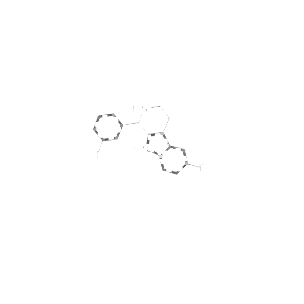 Fc1ccc2[nH]c3c(c2c1)CCNC3c1cccc(Cl)c1